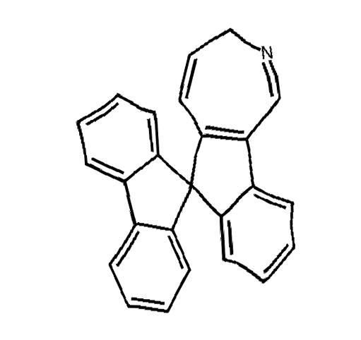 C1=CC2=C(C=NC1)c1ccccc1C21c2ccccc2-c2ccccc21